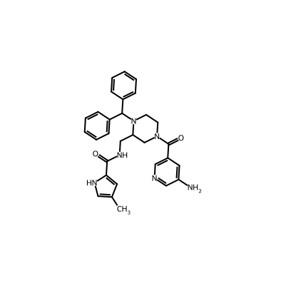 Cc1c[nH]c(C(=O)NCC2CN(C(=O)c3cncc(N)c3)CCN2C(c2ccccc2)c2ccccc2)c1